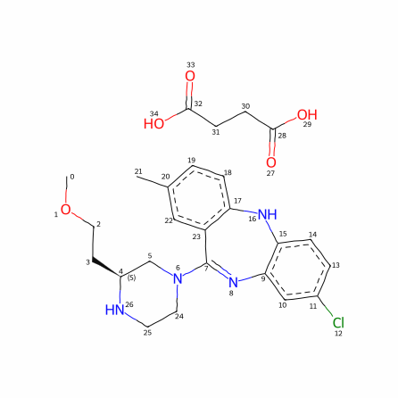 COCC[C@H]1CN(C2=Nc3cc(Cl)ccc3Nc3ccc(C)cc32)CCN1.O=C(O)CCC(=O)O